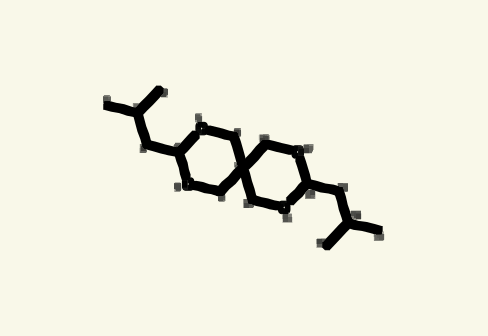 CC(C)CC1OCC2(CO1)COC(CC(C)C)OC2